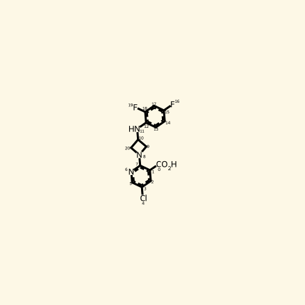 O=C(O)c1cc(Cl)cnc1N1CC(Nc2ccc(F)cc2F)C1